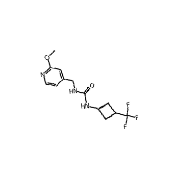 COc1cc(CNC(=O)NC2CC(C(F)(F)F)C2)ccn1